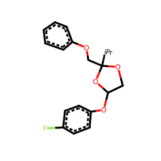 CC(C)C1(COc2ccccc2)OCC(Oc2ccc(F)cc2)O1